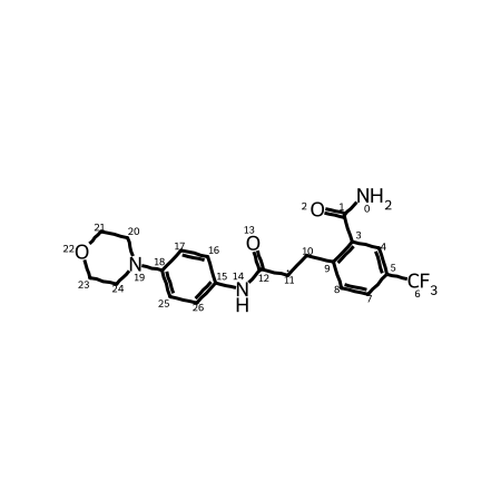 NC(=O)c1cc(C(F)(F)F)ccc1C[CH]C(=O)Nc1ccc(N2CCOCC2)cc1